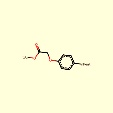 CCCCCc1ccc(OCC(=O)OC(C)(C)C)cc1